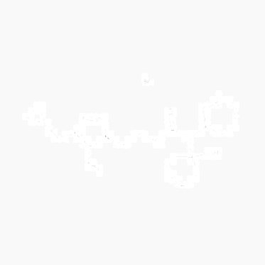 Cc1n(CCOC(=O)C(c2ccccc2)C2(O)CC=CS2)cc[n+]1CC1CC1.[Br-]